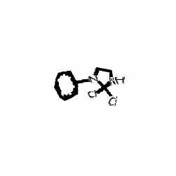 ClC1(Cl)NCCN1c1ccccc1